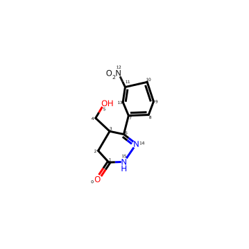 O=C1CC(CO)C(c2cccc([N+](=O)[O-])c2)=NN1